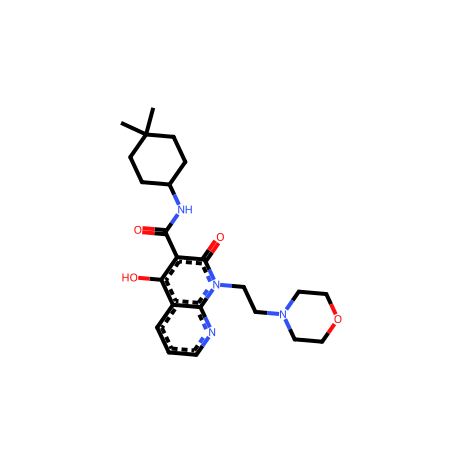 CC1(C)CCC(NC(=O)c2c(O)c3cccnc3n(CCN3CCOCC3)c2=O)CC1